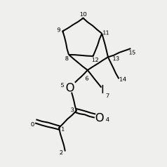 C=C(C)C(=O)OC1(I)C2CCC(C2)C1(C)C